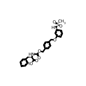 CS(=O)(=O)Nc1cccc(OCc2ccc(COC(=O)N[C@H](Cc3ccccc3)C(=O)O)cc2)c1